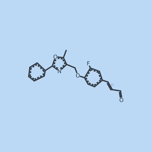 Cc1oc(-c2ccccc2)nc1COc1ccc(/C=C/C=O)cc1F